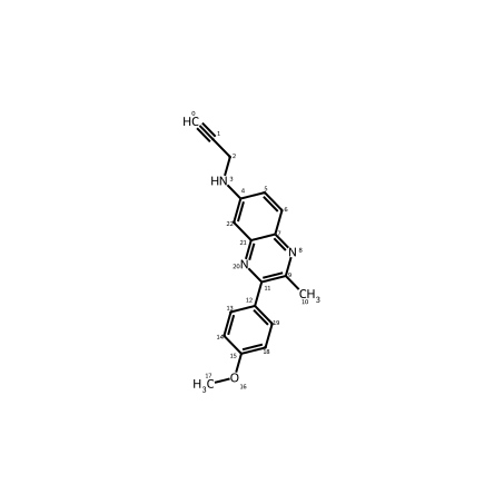 C#CCNc1ccc2nc(C)c(-c3ccc(OC)cc3)nc2c1